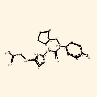 O=C(O)CSc1cnc(NC(=O)N(CC2CCCC2)c2ccc(Br)cc2)s1